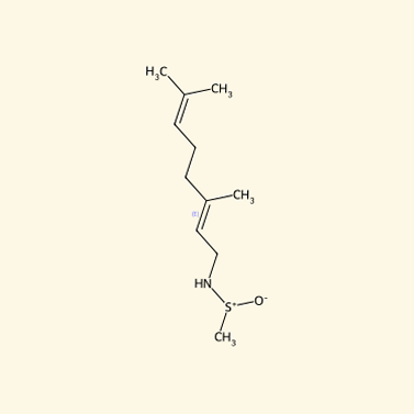 CC(C)=CCC/C(C)=C/CN[S+](C)[O-]